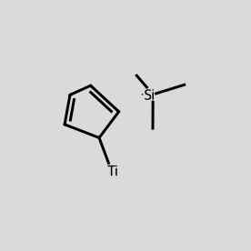 C[Si](C)C.[Ti][CH]1C=CC=C1